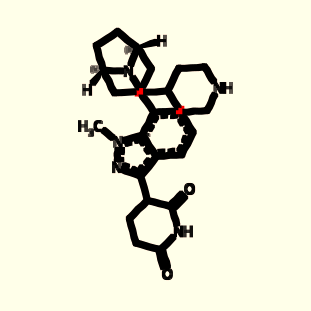 Cn1nc(C2CCC(=O)NC2=O)c2cccc(C3C[C@H]4CC[C@@H](C3)N4CC3CCNCC3)c21